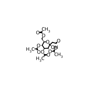 CC(=O)OC[C@H]1O[C@](O)(CC=O)[C@H](OC(C)=O)[C@@H](OC(C)=O)[C@@H]1OC(C)=O